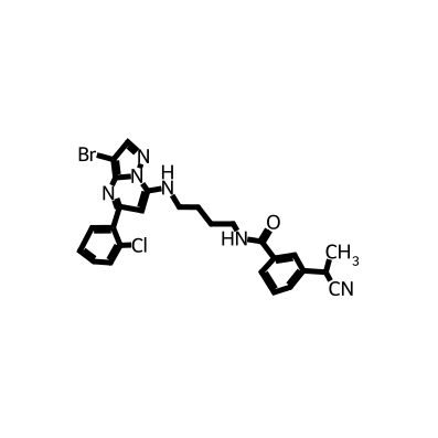 CC(C#N)c1cccc(C(=O)NCCCCNc2cc(-c3ccccc3Cl)nc3c(Br)cnn23)c1